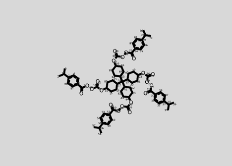 CC(C)c1ccc(C(=O)OOC(=O)OC2CCC(C(C3CCC(OC(=O)OOC(=O)c4ccc(C(C)C)cc4)CC3)(C3CCC(OC(=O)OOC(=O)c4ccc(C(C)C)cc4)CC3)C3CCC(OC(=O)OOC(=O)c4ccc(C(C)C)cc4)CC3)CC2)cc1